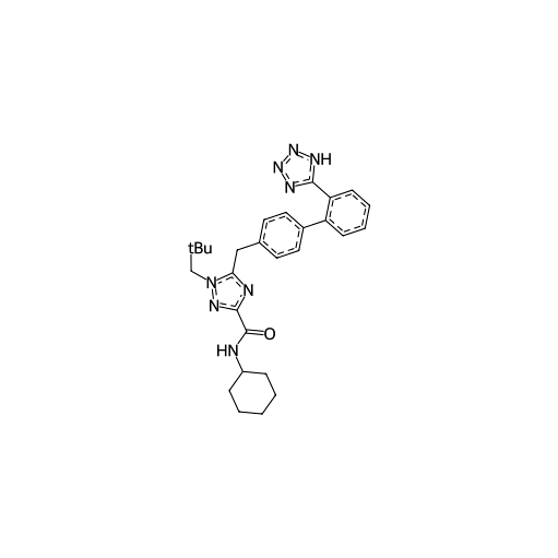 CC(C)(C)Cn1nc(C(=O)NC2CCCCC2)nc1Cc1ccc(-c2ccccc2-c2nnn[nH]2)cc1